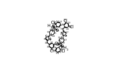 CC1(Cl)C=CC=CC1S(=O)(=O)N1CCN(c2nc(Cc3cc(Cl)cc(Cl)c3)cs2)CC1.Cc1cc(C)cc(Cc2csc(N3CCN(S(=O)(=O)C4C=CC=CC4(C)Cl)CC3)n2)c1